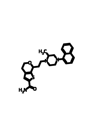 CC1CN(c2cccc3ccccc23)CCN1CCC1OCCc2cc(C(N)=O)sc21